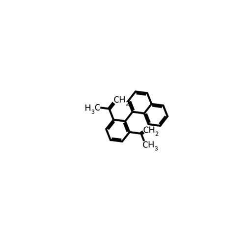 C=C(C)c1cccc(C(=C)C)c1-c1cccc2ccccc12